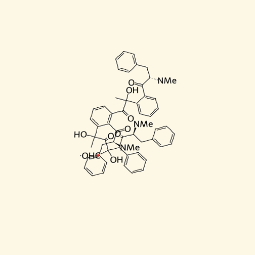 CN[C@@H](Cc1ccccc1)C(=O)c1ccccc1C(C)(O)C(=O)c1cccc(C(C)(O)C(=O)C(O)([C]=O)C(C(=O)[C@H](Cc2ccccc2)NC)c2ccccc2)c1C(=O)[C@H](Cc1ccccc1)NC